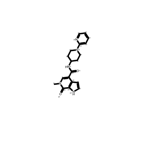 Cn1cc(C(=O)NC2CCN(c3ccccn3)CC2)c2cc[nH]c2c1=O